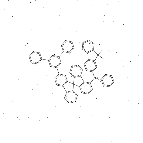 CC1(C)c2ccccc2-c2ccc(N(c3ccccc3)c3cccc4c3-c3ccccc3C43c4ccccc4-c4ccc(-c5cc(-c6ccccc6)cc(-c6ccccc6)c5)cc43)cc21